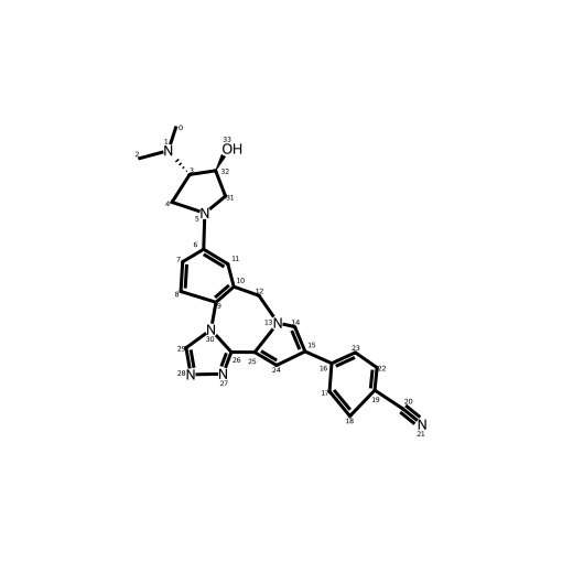 CN(C)[C@H]1CN(c2ccc3c(c2)Cn2cc(-c4ccc(C#N)cc4)cc2-c2nncn2-3)C[C@@H]1O